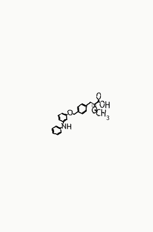 CO[C@@H](Cc1ccc(COc2cccc(Nc3ccccc3)c2)cc1)C(=O)O